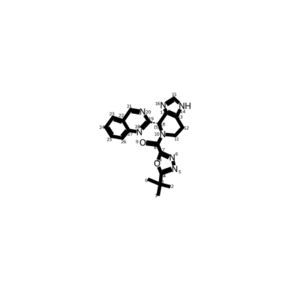 CC(C)(C)c1nnc(C(=O)N2CCc3[nH]cnc3[C@H]2c2ncc3ccccc3n2)o1